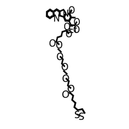 CCC1(OC(=O)CCCC(=O)OCCOCCOCCOCCOC(=O)CCCCC2CCSS2)C(=O)OCc2c1cc1n(c2=O)Cc2cc3ccccc3nc2-1